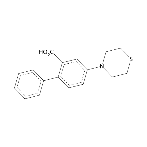 O=C(O)c1cc(N2CCSCC2)ccc1-c1ccccc1